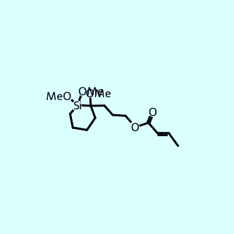 CC=CC(=O)OCCCC1(OC)CCCC[Si]1(OC)OC